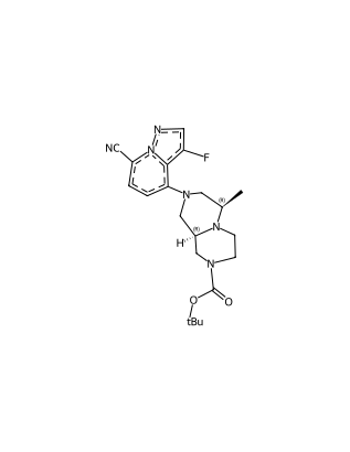 C[C@@H]1CN(c2ccc(C#N)n3ncc(F)c23)C[C@@H]2CN(C(=O)OC(C)(C)C)CCN21